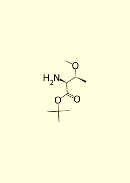 CO[C@@H](C)[C@H](N)C(=O)OC(C)(C)C